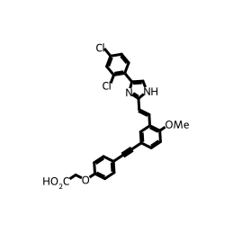 COc1ccc(C#Cc2ccc(OCC(=O)O)cc2)cc1C=Cc1nc(-c2ccc(Cl)cc2Cl)c[nH]1